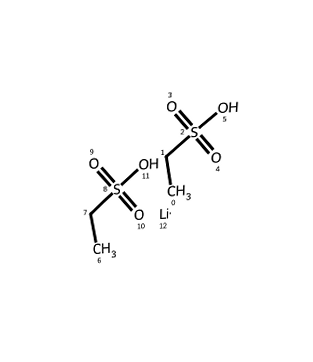 CCS(=O)(=O)O.CCS(=O)(=O)O.[Li]